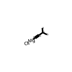 CC(C)C#[C][Mg][Cl]